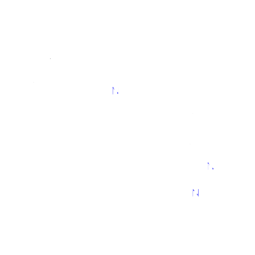 c1cc2[nH]ncc2c2c3c(c(C4CC4)nc12)CCCC3